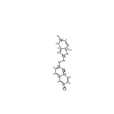 CN1C=CS2(C)CN(CCc3ccc4cc(Cl)ccc4n3)C=C2C1